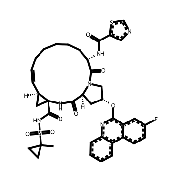 CC1(S(=O)(=O)NC(=O)[C@@]23C[C@H]2/C=C\CCCCC[C@H](NC(=O)c2cncs2)C(=O)N2C[C@H](Oc4nc5ccccc5c5ccc(F)cc45)C[C@H]2C(=O)N3)CC1